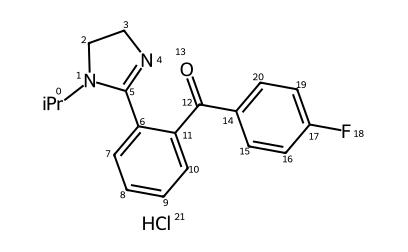 CC(C)N1CCN=C1c1ccccc1C(=O)c1ccc(F)cc1.Cl